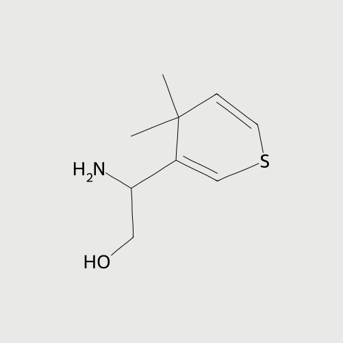 CC1(C)C=CSC=C1C(N)CO